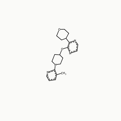 Cc1cccnc1N1CCC(Oc2nccnc2C2CCOCC2)CC1